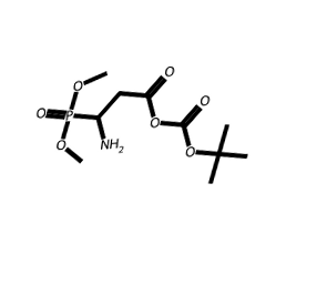 COP(=O)(OC)C(N)CC(=O)OC(=O)OC(C)(C)C